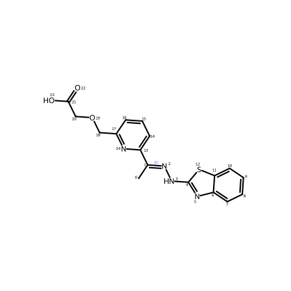 C/C(=N\Nc1nc2ccccc2s1)c1cccc(COCC(=O)O)n1